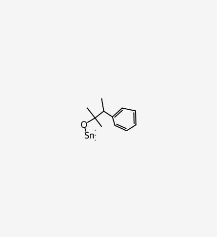 CC(c1ccccc1)C(C)(C)[O][Sn]